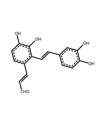 O=C/C=C/c1ccc(O)c(O)c1/C=C/c1ccc(O)c(O)c1